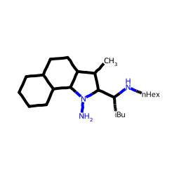 CCCCCCNC(C(C)CC)C1C(C)C2CCC3CCCCC3C2N1N